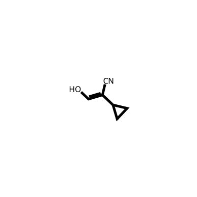 N#CC(=CO)C1CC1